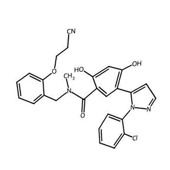 CN(Cc1ccccc1OCCC#N)C(=O)c1cc(-c2ccnn2-c2ccccc2Cl)c(O)cc1O